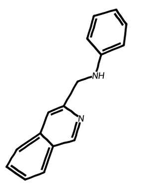 c1ccc(NCc2cc3ccccc3cn2)cc1